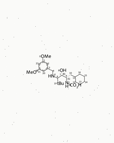 COc1cc(CNC([C@H](O)[C@H](CC2CCCCC2)NC(=O)O)C(C)(C)C)cc(OC)c1